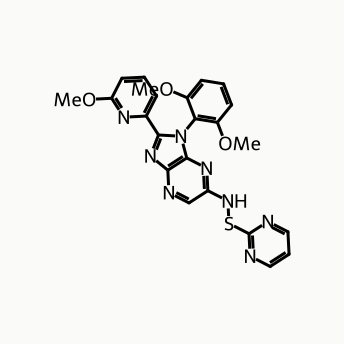 COc1cccc(-c2nc3ncc(NSc4ncccn4)nc3n2-c2c(OC)cccc2OC)n1